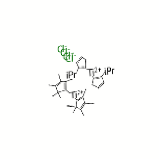 CC(C)C1=[C]([Ti+2][C]2=C(C(C)C)C=CC2)CC=C1.CC1=C(C)C(C)(C)[C]([Ti+2][C]2=C(C)C(C)=C(C)C2(C)C)=C1C.[Cl-].[Cl-].[Cl-].[Cl-]